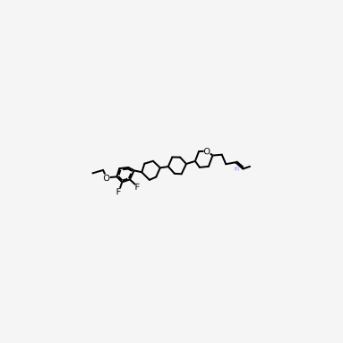 C/C=C/CCC1CCC(C2CCC(C3CCC(c4ccc(OCC)c(F)c4F)CC3)CC2)CO1